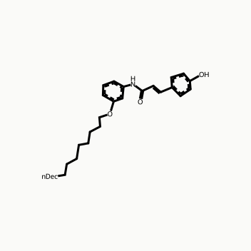 CCCCCCCCCCCCCCCCCCOc1cccc(NC(=O)/C=C/c2ccc(O)cc2)c1